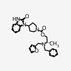 C[C@@H](COC(=O)N1CCC(n2c(=O)[nH]c3ccccc32)CC1)N(Cc1ccccc1)Cc1ccco1